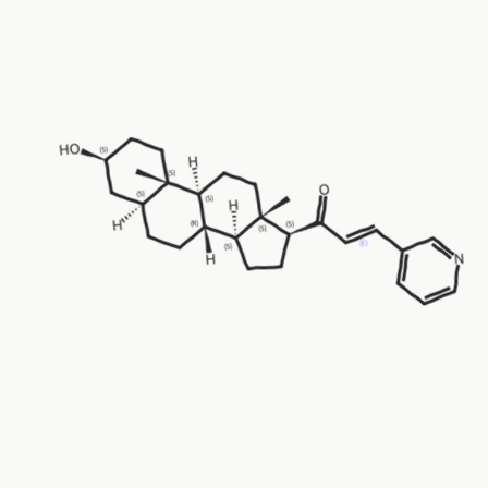 C[C@]12CC[C@H](O)C[C@@H]1CC[C@@H]1[C@@H]2CC[C@]2(C)[C@@H](C(=O)/C=C/c3cccnc3)CC[C@@H]12